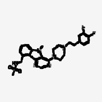 Cn1c2cccc(CNS(C)(=O)=O)c2c2ncnc(N3CCN(CCc4ccc(F)c(F)c4)CC3)c21